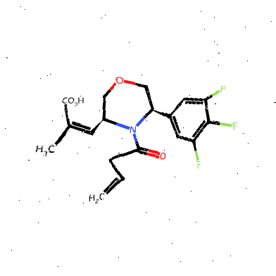 C=CCC(=O)N1[C@@H](/C=C(/C)C(=O)O)COC[C@H]1c1cc(F)c(F)c(F)c1